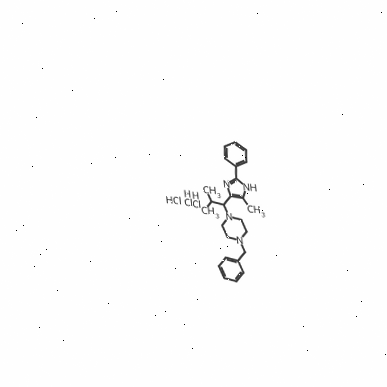 Cc1[nH]c(-c2ccccc2)nc1C(C(C)C)N1CCN(Cc2ccccc2)CC1.Cl.Cl.Cl